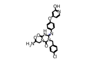 NC(=O)Cn1c(=O)[nH]/c(=N\c2ccc(Oc3ccnc(O)c3)cc2)n(Cc2ccc(Cl)cc2)c1=O